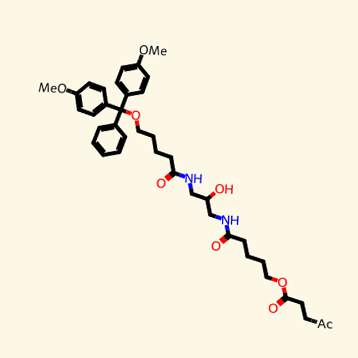 COc1ccc(C(OCCCCC(=O)NCC(O)CNC(=O)CCCCOC(=O)CCC(C)=O)(c2ccccc2)c2ccc(OC)cc2)cc1